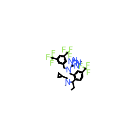 CCC(c1ccc(C(F)(F)F)cc1CN(Cc1cc(C(F)(F)F)cc(C(F)(F)F)c1)c1nnn(C)n1)N(C)CC1CC1